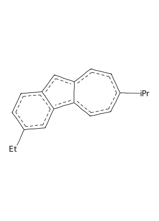 CCc1ccc2cc3ccc(C(C)C)ccc-3c2c1